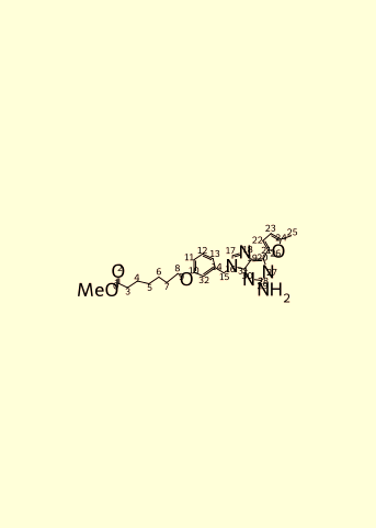 COC(=O)CCCCCCOc1cccc(Cn2cnc3c(-c4ccc(C)o4)nc(N)nc32)c1